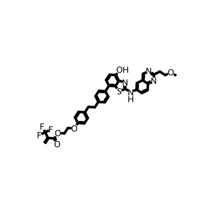 C=C(C(=O)OCCOc1ccc(CCc2ccc(-c3ccc(O)c4nc(Nc5ccc6nc(CCOC)ncc6c5)sc34)cc2)cc1)C(F)(F)F